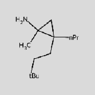 CCCC1(CCC(C)(C)C)CC1(C)N